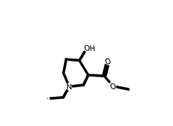 [CH2]CN1CCC(O)C(C(=O)OC)C1